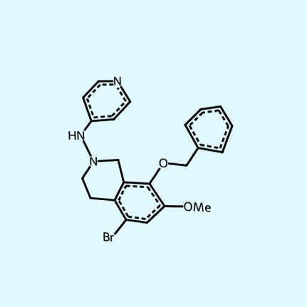 COc1cc(Br)c2c(c1OCc1ccccc1)CN(Nc1ccncc1)CC2